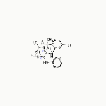 C/N=C(Nc1ccccc1)\C(=N/C(C)C)Nc1cc(Br)ccc1C(C)(C)C